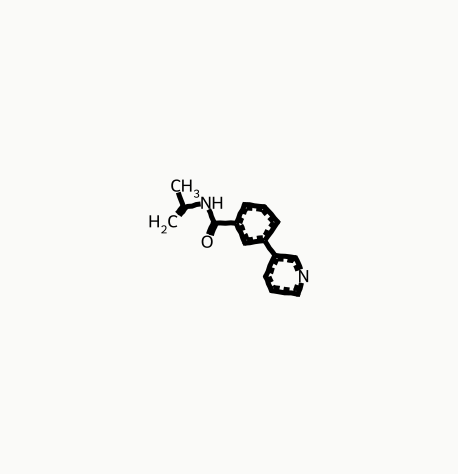 C=C(C)NC(=O)c1cccc(-c2cccnc2)c1